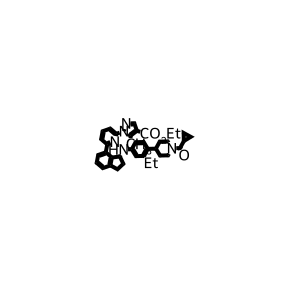 CCOC(=O)c1cnn(-c2cccc(-c3cccc4c3C(Nc3ccc(C5CCN(C(=O)C6CC6)CC5)c(CC)c3)CC4)n2)c1C